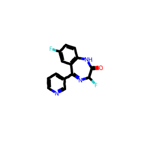 O=C1Nc2ccc(F)cc2C(c2cccnc2)=NC1F